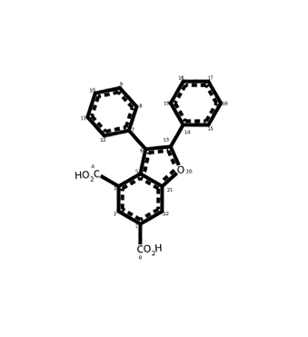 O=C(O)c1cc(C(=O)O)c2c(-c3ccccc3)c(-c3ccccc3)oc2c1